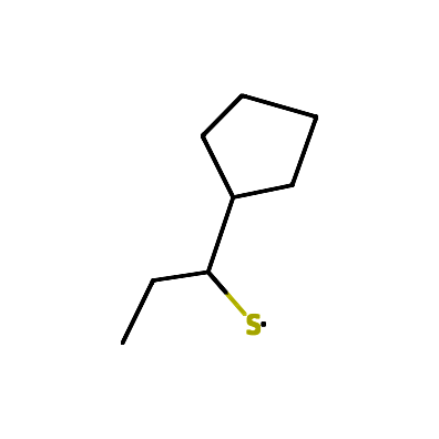 CCC([S])C1CCCC1